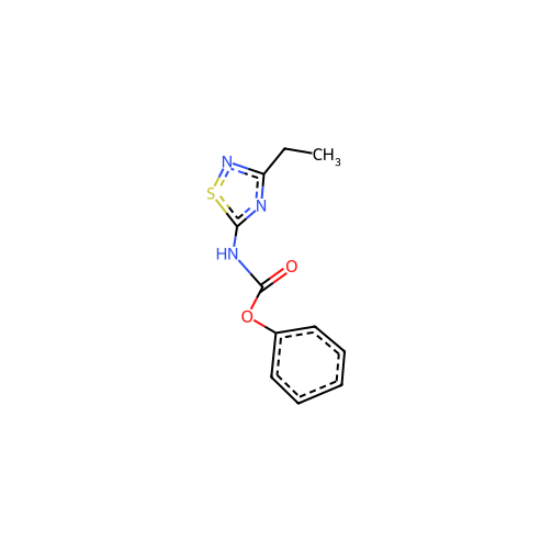 CCc1nsc(NC(=O)Oc2ccccc2)n1